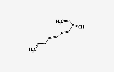 [CH]=C(C=C)C=CC=CCC=C